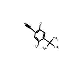 Cc1cc(C#N)c(Cl)cc1C(C)(C)C